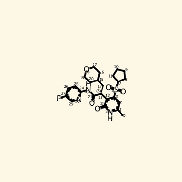 Cc1cc(S(=O)(=O)C2CCCC2)c([C@H](CC2CCOCC2)C(=O)Nc2ccc(F)cn2)c(=O)[nH]1